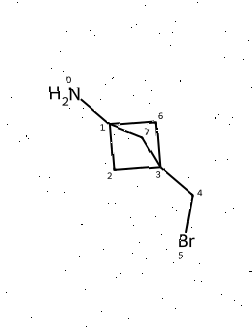 NC12CC(CBr)(C1)C2